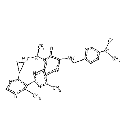 Cc1ncnc(C2CC2)c1-c1nc(C)c2nc(NCc3ccc([S+](N)[O-])cn3)c(=O)n([C@@H](C)C(F)(F)F)c2n1